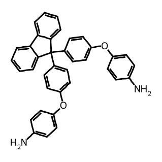 Nc1ccc(Oc2ccc(C3(c4ccc(Oc5ccc(N)cc5)cc4)c4ccccc4-c4ccccc43)cc2)cc1